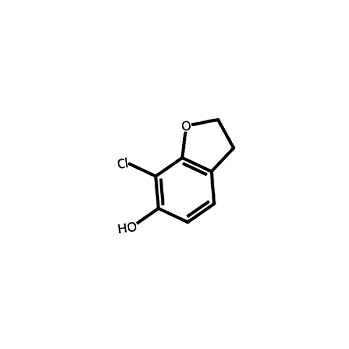 Oc1ccc2c(c1Cl)OCC2